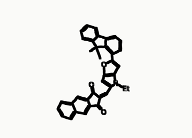 CCn1c(C=C2C(=O)c3cc4ccccc4cc3C2=O)cc2oc(-c3cccc4c3C(C)(C)c3ccccc3-4)cc21